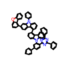 c1ccc(-c2ccc(-c3nc(-c4ccccc4)nc(-c4ccccc4)n3)c(-n3c4ccccc4c4c(-c5cccc6c5c5ccc(-c7cccc8oc9ccccc9c78)cc5n6-c5ccccc5)cccc43)c2)cc1